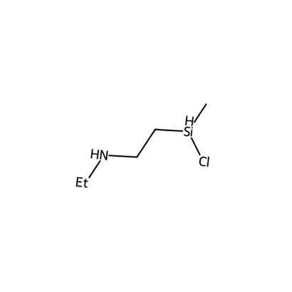 CCNCC[SiH](C)Cl